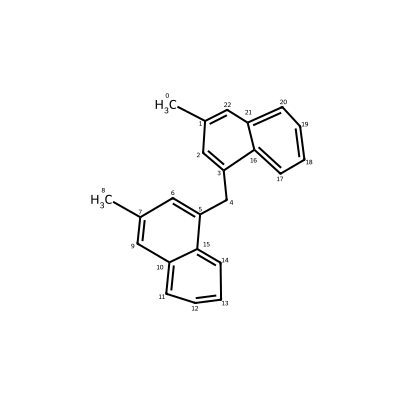 Cc1cc(Cc2cc(C)cc3ccccc23)c2ccccc2c1